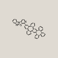 c1ccc2c(c1)nc1sc3c(-c4ccc5c6ccccc6c6cc7c8ccccc8c8ccccc8c8ccccc8c7cc6c6ccccc6c5c4)nccc3n12